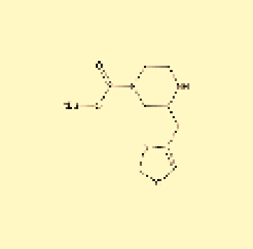 CC(C)(C)OC(=O)N1CCNC(CC2=COCO2)C1